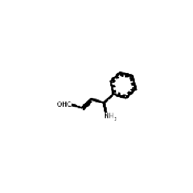 NC(C=CC=O)c1ccccc1